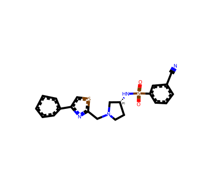 N#Cc1cccc(S(=O)(=O)N[C@@H]2CCN(Cc3nc(-c4ccccc4)cs3)C2)c1